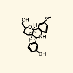 CSc1ccc2c(c1)[C@H]1OC(CO)CC[C@H]1[C@@H](c1cccc(O)c1)N2